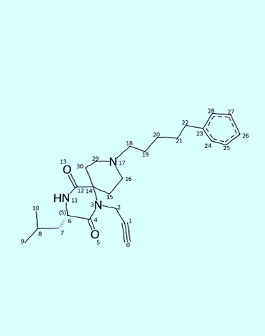 C#CCN1C(=O)[C@H](CC(C)C)NC(=O)C12CCN(CCCCCc1ccccc1)CC2